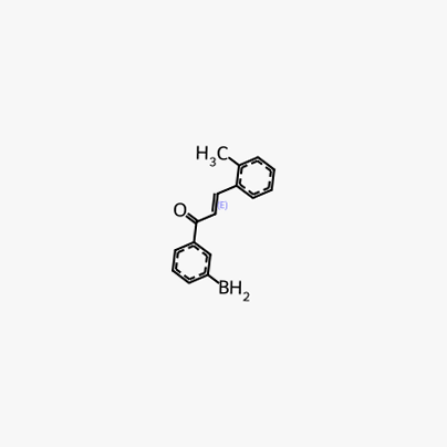 Bc1cccc(C(=O)/C=C/c2ccccc2C)c1